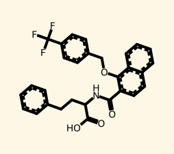 O=C(NC(CCc1ccccc1)C(=O)O)c1ccc2ccccc2c1OCc1ccc(C(F)(F)F)cc1